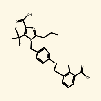 CCCc1nc(C(=O)O)c(C(F)(F)F)n1Cc1ccc(OCc2cccc(C(=O)O)c2C)cc1